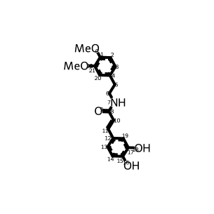 COc1ccc(CCNC(=O)C=Cc2ccc(O)c(O)c2)cc1OC